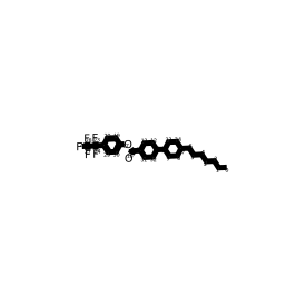 CCCCCCCC1CCC(C2CCC(C(=O)Oc3ccc(C(F)(F)C(F)(F)F)cc3)CC2)CC1